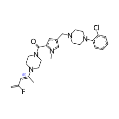 C=C(F)/C=C(\C)N1CCN(C(=O)c2cc(CN3CCN(c4ccccc4Cl)CC3)cn2C)CC1